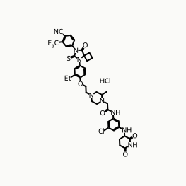 CCc1cc(N2C(=S)N(c3ccc(C#N)c(C(F)(F)F)c3)C(=O)C23CCC3)ccc1OCCN1CCN(CC(=O)Nc2cc(Cl)cc(NC3CCC(=O)NC3=O)c2)C(C)C1.Cl